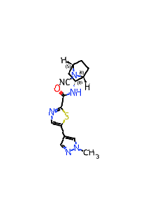 Cn1cc(-c2cnc(C(=O)N[C@@H]3C[C@@H]4CC[C@H]3N4C#N)s2)cn1